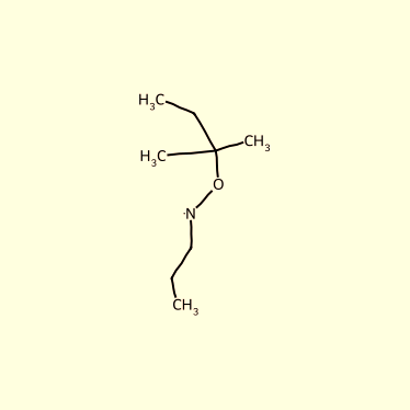 CCC[N]OC(C)(C)CC